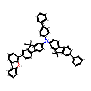 CC1(C)c2cc(-c3ccccc3)ccc2-c2ccc(N(c3ccc(-c4ccccc4)cc3)c3ccc4c(c3)C(C)(C)c3cc(-c5cccc6c5oc5ccccc56)ccc3-4)cc21